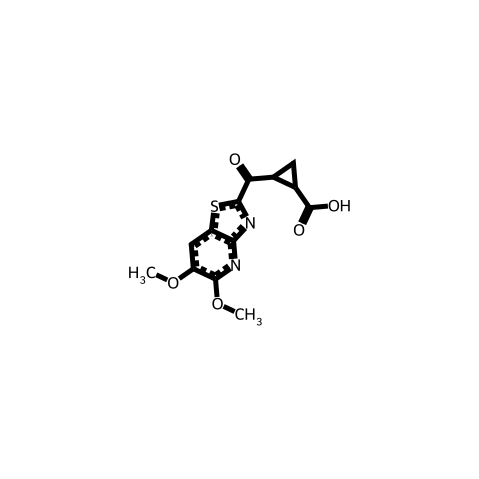 COc1cc2sc(C(=O)C3CC3C(=O)O)nc2nc1OC